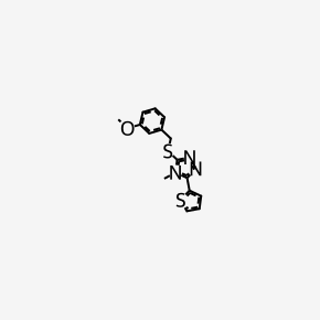 COc1cccc(CSc2nnc(-c3cccs3)n2C)c1